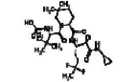 CC(F)(F)CC[C@H](NC(=O)[C@@H]1CCC(C)(C)CN1C(=O)[C@@H](NC(=O)O)C(C)(C)C)C(=O)C(=O)NC1CC1